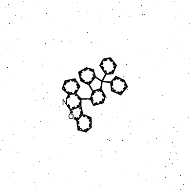 c1ccc(C2(c3ccccc3)c3ccccc3-c3c(-c4c5ccccc5nc5oc6ccccc6c45)cccc32)cc1